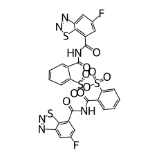 O=C(NC(=O)c1cc(F)cc2nnsc12)c1ccccc1S(=O)(=O)OS(=O)(=O)c1ccccc1C(=O)NC(=O)c1cc(F)cc2nnsc12